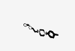 Cc1ccc(N2CCN(CCO[C]=O)CC2)cc1